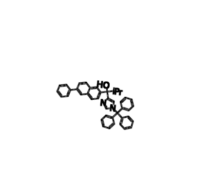 CC(C)C(O)(c1ccc2cc(-c3ccccc3)ccc2c1)c1cn(C(c2ccccc2)(c2ccccc2)c2ccccc2)cn1